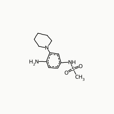 CS(=O)(=O)Nc1ccc(N)c(N2CCCCC2)c1